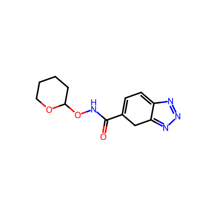 O=C(NOC1CCCCO1)C1=CC=C2N=NN=C2C1